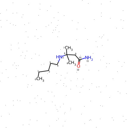 CCCCCNC(C)(C)CC(N)=O